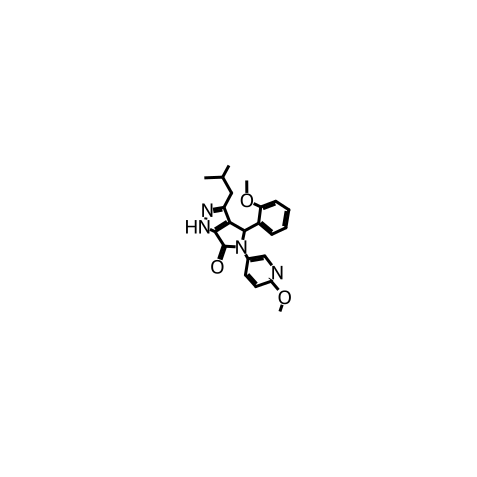 COc1ccc(N2C(=O)c3[nH]nc(CC(C)C)c3C2c2ccccc2OC)cn1